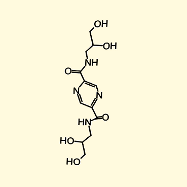 O=C(NCC(O)CO)c1cnc(C(=O)NCC(O)CO)cn1